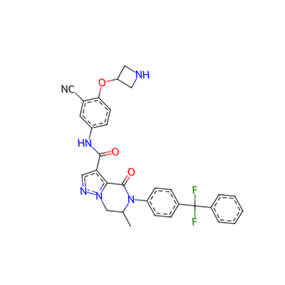 CC1Cn2ncc(C(=O)Nc3ccc(OC4CNC4)c(C#N)c3)c2C(=O)N1c1ccc(C(F)(F)c2ccccc2)cc1